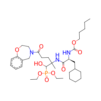 CCCCCOC(=O)N[C@@H](CC1CCCCC1)C(=O)NC(C)(CCC(=O)N1CCOc2ccccc2C1)C(O)P(=O)(OCC)OCC